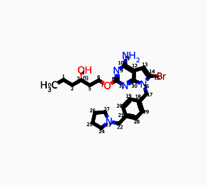 CCC[C@H](O)CCOc1nc(N)c2cc(Br)n(Cc3ccc(CN4CCCC4)cc3)c2n1